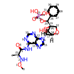 CON[C@@H](C)C(=O)Nc1ncnc2c1ncn2[C@@H]1O[C@]2(C(OP(=O)(O)O)c3ccccc3)CO[C@@H]1[C@H]2O